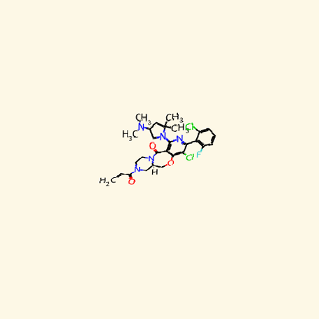 C=CC(=O)N1CCN2C(=O)c3c(N4CC(N(C)C)CC4(C)C)nc(-c4c(F)cccc4Cl)c(Cl)c3OC[C@H]2C1